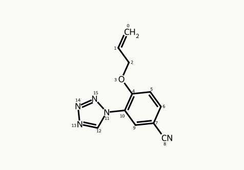 C=CCOc1ccc(C#N)cc1-n1cnnn1